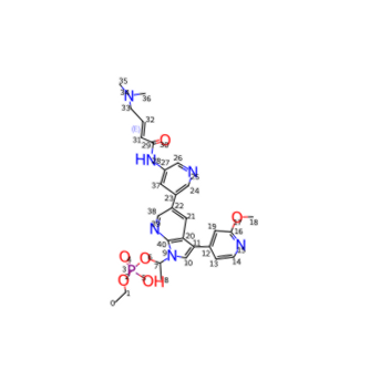 CCOP(=O)(O)OC(C)n1cc(-c2ccnc(OC)c2)c2cc(-c3cncc(NC(=O)/C=C/CN(C)C)c3)cnc21